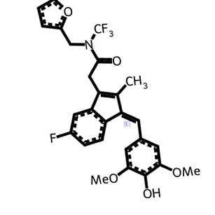 COc1cc(/C=C2/C(C)=C(CC(=O)N(Cc3ccco3)C(F)(F)F)c3cc(F)ccc32)cc(OC)c1O